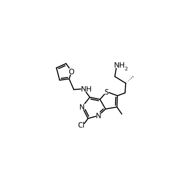 Cc1c(C[C@@H](C)CN)sc2c(NCc3ccco3)nc(Cl)nc12